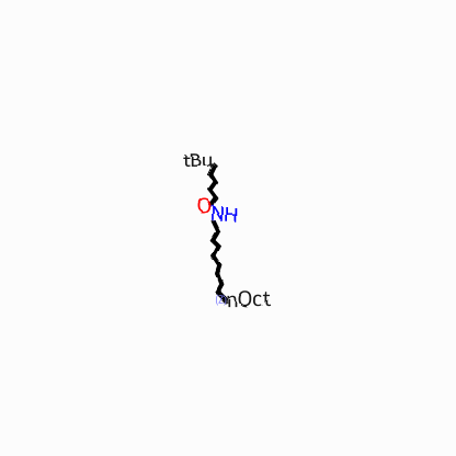 CCCCCCCC/C=C\CCCCCCCCNC(=O)CCCCCC(C)(C)C